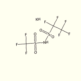 O=S(=O)(NS(=O)(=O)C(F)(F)C(F)(F)F)C(F)(F)F.[KH]